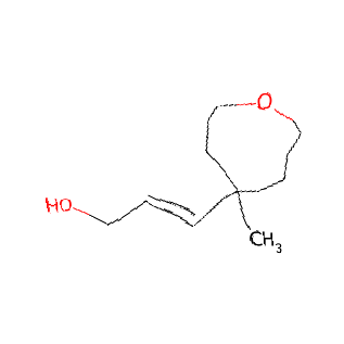 CC1(C=CCO)CCOCC1